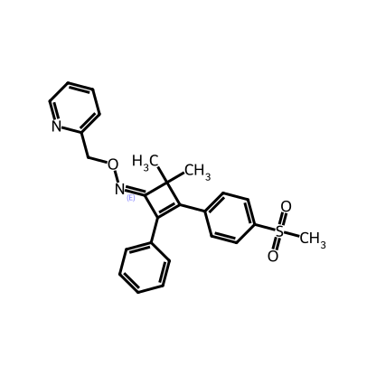 CC1(C)C(c2ccc(S(C)(=O)=O)cc2)=C(c2ccccc2)/C1=N/OCc1ccccn1